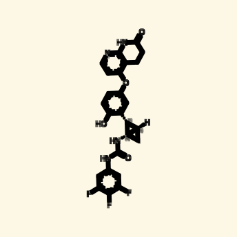 O=C1CCc2c(Oc3ccc(O)c([C@@H]4[C@@H]5C[C@@]45NC(=O)Nc4cc(F)c(F)c(F)c4)c3)ccnc2N1